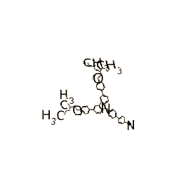 CCCCC(CC)COc1ccc(-c2ccc3c(c2)c2cc(-c4ccc(OCC(CC)CCCC)cc4)ccc2n3-c2ccc(-c3ccc(C#N)cc3)cc2)cc1